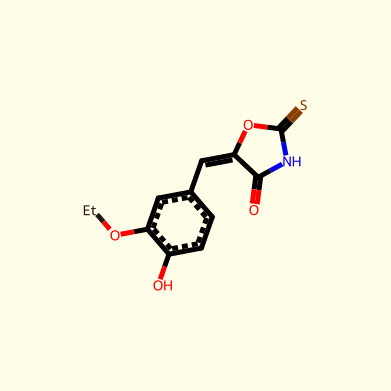 CCOc1cc(C=C2OC(=S)NC2=O)ccc1O